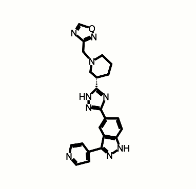 c1cc(-c2n[nH]c3ccc(-c4n[nH]c([C@H]5CCCN(Cc6ncon6)C5)n4)cc23)ccn1